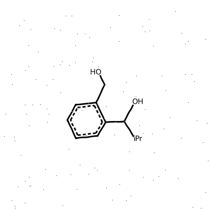 CC(C)C(O)c1ccccc1CO